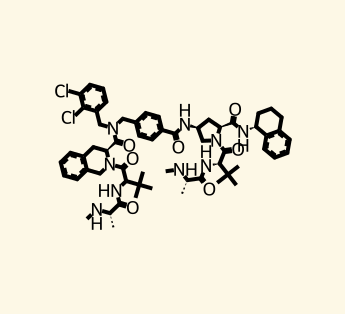 CN[C@@H](C)C(=O)NC(C(=O)N1Cc2ccccc2C[C@H]1C(=O)N(Cc1ccc(C(=O)N[C@H]2C[C@@H](C(=O)N[C@@H]3CCCc4ccccc43)N(C(=O)[C@@H](NC(=O)[C@H](C)NC)C(C)(C)C)C2)cc1)Cc1cccc(Cl)c1Cl)C(C)(C)C